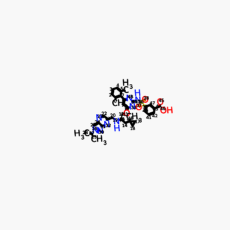 Cc1cccc(C)c1-c1cc(OC[C@@H](CC2(C)CC2)NCc2cnc3cn(C(C)C)nc3n2)nc(NS(=O)(=O)c2cccc(C(=O)O)c2)n1